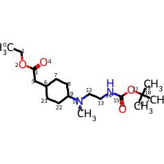 CCOC(=O)CC1CCC(N(C)CCNC(=O)OC(C)(C)C)CC1